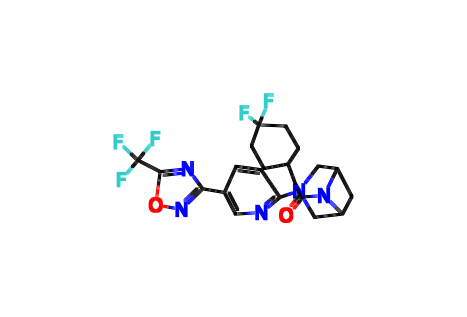 O=C(C1CCC(F)(F)CC1)N1C2CC1CN(c1ccc(-c3noc(C(F)(F)F)n3)cn1)C2